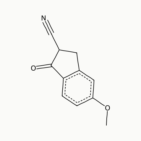 COc1ccc2c(c1)CC(C#N)C2=O